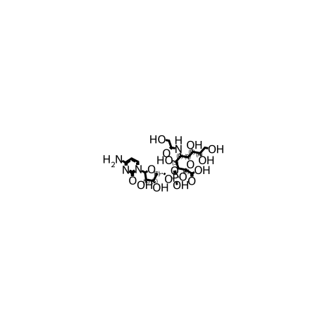 Nc1ccn(C2O[C@H](COP(=O)(O)O[C@@]3(C(=O)O)C[C@H](O)[C@@H](NC(=O)CO)[C@H]([C@H](O)[C@H](O)CO)O3)[C@@H](O)[C@H]2O)c(=O)n1